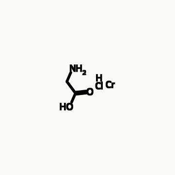 Cl.NCC(=O)O.[Cr]